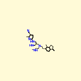 C=C1CCc2c1ccc(CCN(CCNC)C/C(C=N)=C/Nc1ccc(C#N)c(C)n1)c2C